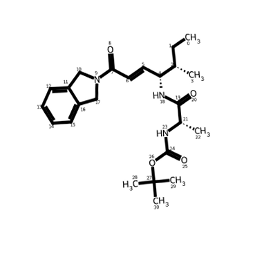 CC[C@H](C)[C@@H](/C=C/C(=O)N1Cc2ccccc2C1)NC(=O)[C@H](C)NC(=O)OC(C)(C)C